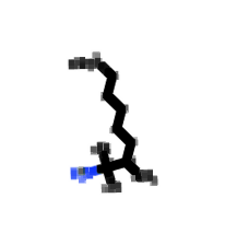 CCCCCCCCCCCCC(C)C(N)(CC)CC